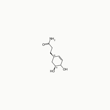 NC(=O)CC[C@H]1C=CC(O)[C@@H](O)C1